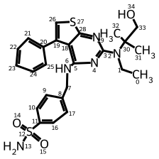 CCN(c1nc(NCc2ccc(S(N)(=O)=O)cc2)c2c(-c3ccccc3)csc2n1)C(C)(C)CO